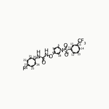 O=C(NOc1ccn(S(=O)(=O)c2cccc(C(F)(F)F)c2)c1)Nc1ccc(F)cc1